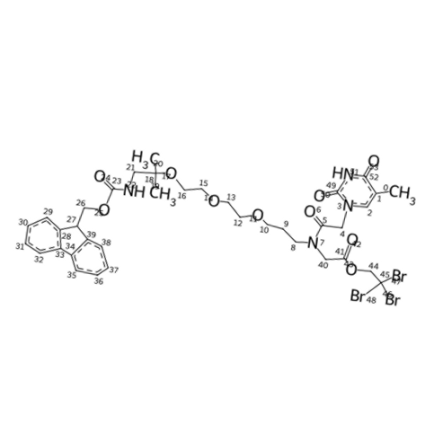 Cc1cn(CC(=O)N(CCCOCCOCCOC(C)(C)CNC(=O)OCC2c3ccccc3-c3ccccc32)CC(=O)OCC(Br)(Br)Br)c(=O)[nH]c1=O